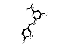 CCc1cc(SCc2ccc(=O)[nH]c2)nc(N(C)C)c1